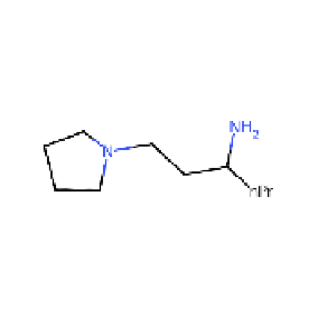 CCCC(N)CCN1CCCC1